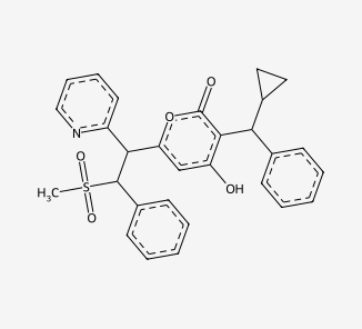 CS(=O)(=O)C(c1ccccc1)C(c1ccccn1)c1cc(O)c(C(c2ccccc2)C2CC2)c(=O)o1